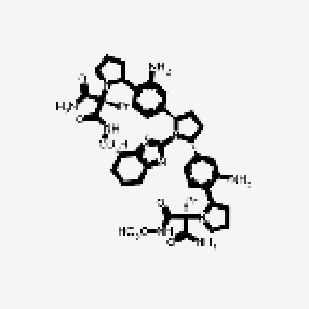 CC(C)[C@](C(N)=O)(C(=O)NC(=O)O)N1CCCC1c1ccc([C@H]2CC[C@H](c3ccc(C4CCCN4[C@@](C(N)=O)(C(=O)NC(=O)O)C(C)C)c(N)c3)N2c2nc3c(s2)CCCC3)cc1N